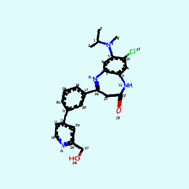 CC(C)N(C)c1cc2c(cc1Cl)NC(=O)CC(c1cccc(-c3ccnc(CO)c3)c1)=N2